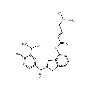 CC(C)c1cc(C(=O)N2Cc3cccc(NC(=O)/C=C/CN(C)C)c3C2)ccc1O